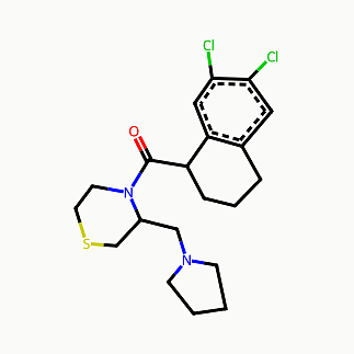 O=C(C1CCCc2cc(Cl)c(Cl)cc21)N1CCSCC1CN1CCCC1